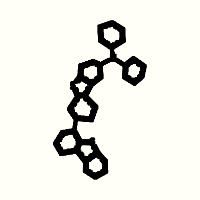 c1ccc(N(c2ccccc2)c2ccc3sc4cc(-c5cccc6c5sc5ccccc56)ccc4c3c2)cc1